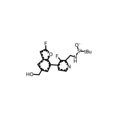 CC(C)(C)[S+]([O-])NCc1nccc(-c2cc(CO)cc3cc(F)oc23)c1F